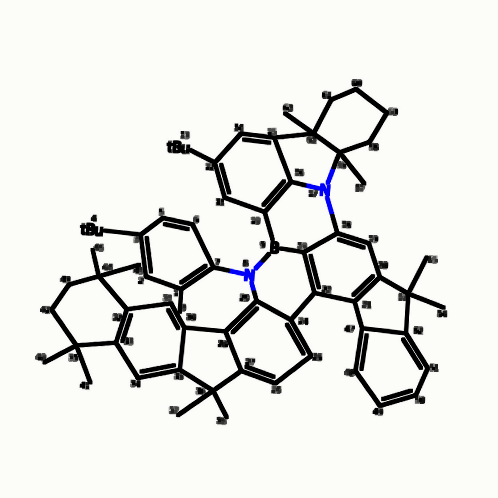 Cc1cc(C(C)(C)C)ccc1N1B2c3cc(C(C)(C)C)cc4c3N(c3cc5c(c(c32)-c2ccc3c(c21)-c1cc2c(cc1C3(C)C)C(C)(C)CCC2(C)C)-c1ccccc1C5(C)C)C1(C)CCCCC41C